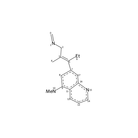 C=NC/C(C)=C(\CC)c1cc(NC)c2cccnc2c1